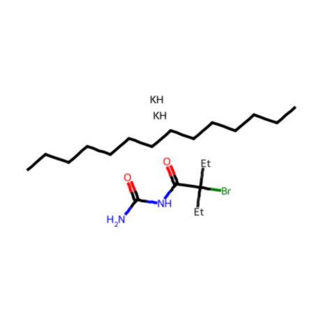 CCC(Br)(CC)C(=O)NC(N)=O.CCCCCCCCCCCCCC.[KH].[KH]